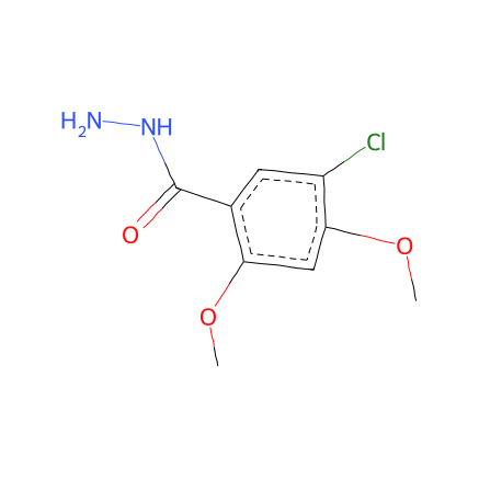 COc1cc(OC)c(C(=O)NN)cc1Cl